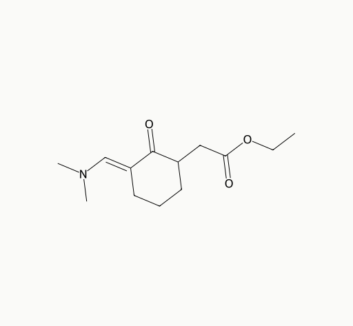 CCOC(=O)CC1CCC/C(=C\N(C)C)C1=O